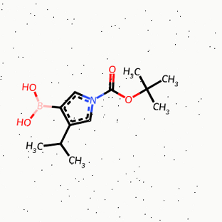 CC(C)c1cn(C(=O)OC(C)(C)C)cc1B(O)O